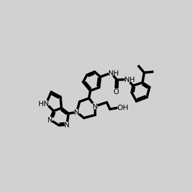 CC(C)c1ccccc1NC(=O)Nc1cccc(C2CN(c3ncnc4[nH]ccc34)CCN2CCO)c1